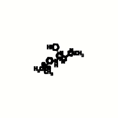 CN(C)S(=O)(=O)c1cccc(Nc2cc([C@H]3CCCNC3)nc3c(-c4cnn(C)c4)cnn23)c1